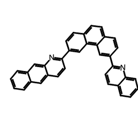 c1ccc2cc3nc(-c4ccc5ccc6ccc(-c7ccc8ccccc8n7)cc6c5c4)ccc3cc2c1